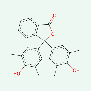 Cc1cc(C2(c3cc(C)c(O)c(C)c3)OC(=O)c3ccccc32)cc(C)c1O